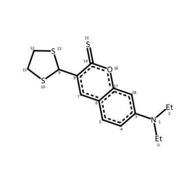 CCN(CC)c1ccc2cc(C3SCCS3)c(=S)oc2c1